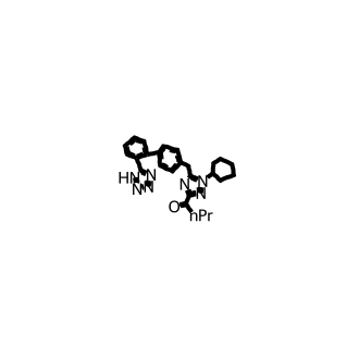 CCCC(=O)c1nc(Cc2ccc(-c3ccccc3-c3nnn[nH]3)cc2)n(C2CCCCC2)n1